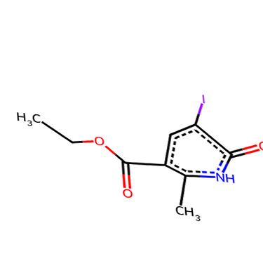 CCOC(=O)c1cc(I)c(=O)[nH]c1C